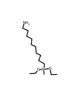 CCO[Si](C)(CCCCCCCCCCN)OCC